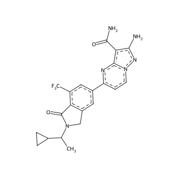 CC(C1CC1)N1Cc2cc(-c3ccn4nc(N)c(C(N)=O)c4n3)cc(C(F)(F)F)c2C1=O